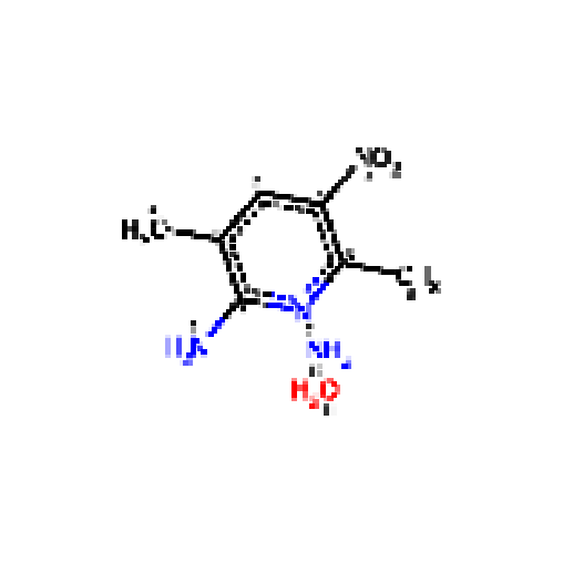 Cc1cc([N+](=O)[O-])c(C)nc1N.N.O